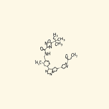 C=CC(=O)n1cc(-c2cc3c(-c4ccc(CNC(=O)c5noc(C(C)(C)C)n5)c(C)c4)ncnn3c2)cn1